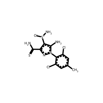 Cc1cc(Cl)c(-n2nc(C(N)=S)c([S+](N)[O-])c2N)c(Cl)c1